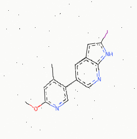 COc1cc(C)c(-c2cnc3[nH]c(I)cc3c2)cn1